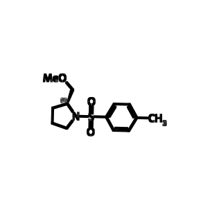 COC[C@@H]1CCCN1S(=O)(=O)c1ccc(C)cc1